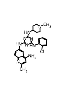 Cc1cc(N)c2cc(Nc3nc(Nc4ccccc4Cl)nc(NC4CCN(C)CC4)n3)ccc2n1